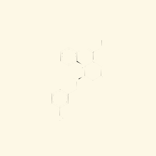 CC(C)(C)OC(=O)N1CCC[C@@H](OCc2cccc(C#N)c2)[C@H]1c1ccccc1